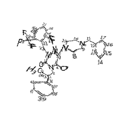 C[C@@H](Cn1c(=O)c(N2CCN(Cc3ccccc3)CC2)nn(Cc2c(F)cccc2C(F)(F)F)c1=O)c1ccccc1